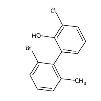 Cc1cccc(Br)c1-c1cccc(Cl)c1O